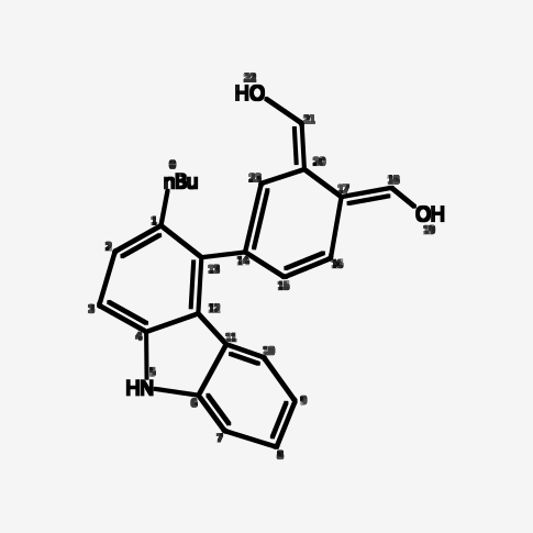 CCCCc1ccc2[nH]c3ccccc3c2c1-c1ccc(=CO)c(=CO)c1